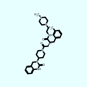 CN1CCN(CCNC(=O)[C@H](CC(=O)N2CCC(N3Cc4ccccc4NC3=O)CC2)Cc2cccc(C(F)(F)F)c2)CC1